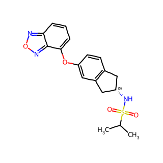 CC(C)S(=O)(=O)N[C@H]1Cc2ccc(Oc3cccc4nonc34)cc2C1